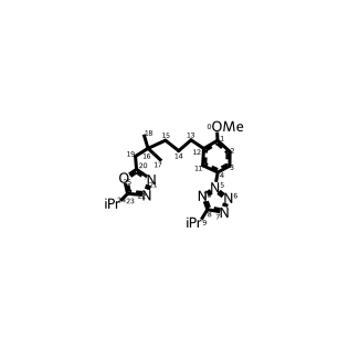 COc1ccc(-n2nnc(C(C)C)n2)cc1CCCC(C)(C)Cc1nnc(C(C)C)o1